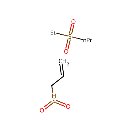 C=CC[SH](=O)=O.CCCS(=O)(=O)CC